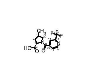 C[C@@H]1C[C@H](C(=O)O)N(C(=O)c2ccnc(C(F)(F)F)c2)C1